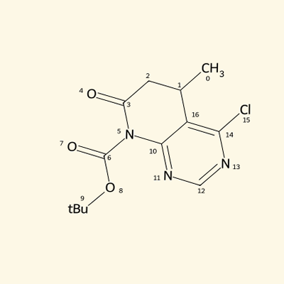 CC1CC(=O)N(C(=O)OC(C)(C)C)c2ncnc(Cl)c21